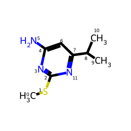 CSc1nc(N)cc(C(C)C)n1